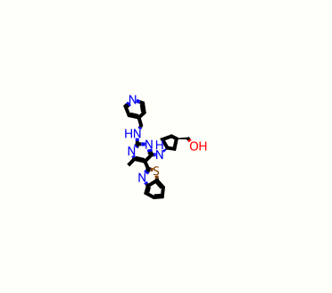 Cc1nc(NCc2ccncc2)nc(N[C@H]2CC[C@@H](CO)C2)c1-c1nc2ccccc2s1